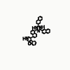 C1=C(c2cccc3c(C4=NC(c5ccc6ccccc6c5)NC(c5ccc6ccccc6c5)N4)cccc23)c2c(oc3ccccc23)CN1